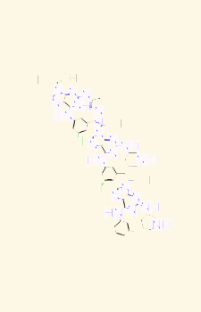 CC(C)n1cnc2c(Nc3cc(Cl)cc(CC(C)n4cnc5c(Nc6cc(Cl)cc(CC(C)n7cnc8c(Nc9cccc(Cl)c9)nc(N[C@H]9CCCNC9)nc87)c6)nc(N[C@@H]6CCCNC6)nc54)c3)nc(N[C@H]3CCNC3)nc21